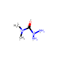 CN(C)C(=O)N(N)N